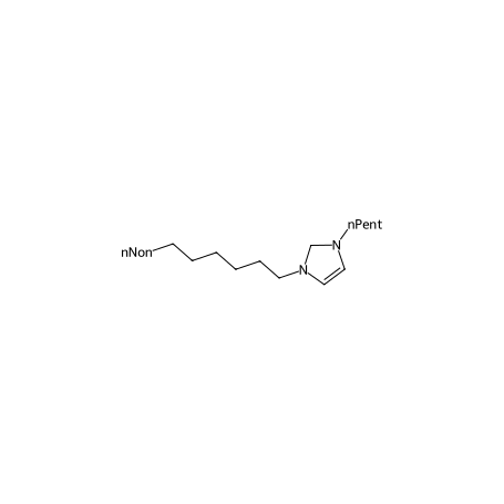 CCCCCCCCCCCCCCCN1C=CN(CCCCC)C1